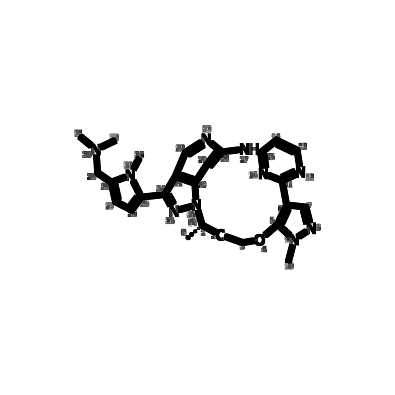 C[C@H]1CCOc2c(cnn2C)-c2nccc(n2)Nc2cc3c(cn2)c(-c2ccc(CN(C)C)n2C)nn31